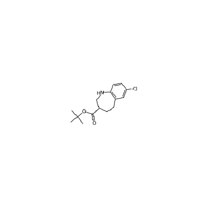 CC(C)(C)OC(=O)C1CCc2cc(Cl)ccc2NC1